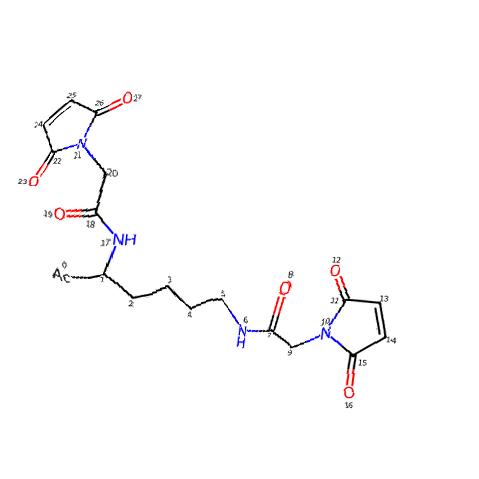 CC(=O)C(CCCCNC(=O)CN1C(=O)C=CC1=O)NC(=O)CN1C(=O)C=CC1=O